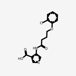 O=C(CCCOc1ccccc1Cl)Nc1cscc1C(=O)O